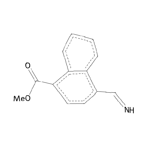 COC(=O)c1ccc(C=N)c2ccccc12